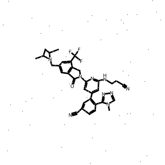 CC1CC(C)N1Cc1cc2c(c(C(F)(F)F)c1)CN(c1cc(-c3cc(C#N)ccc3-c3nncn3C)cc(NCCC#N)n1)C2=O